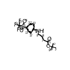 CC(C)(C)OC(=O)CCCNc1ccc(S(=O)(=O)C(F)(F)F)cc1